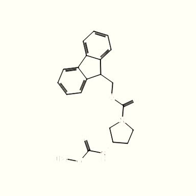 CC(C)(C)OC(=O)N[C@H]1CCN(C(=O)OCC2c3ccccc3-c3ccccc32)C1